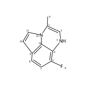 CC1=CNc2c(F)ccc3ccn1c23